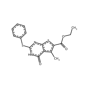 CCOC(=O)c1sc2nc(Sc3ccccc3)[nH]c(=O)c2c1C